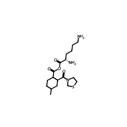 CC1CCC(C(=O)OC(=O)[C@@H](N)CCCCN)C(C(=O)N2CCSC2)C1